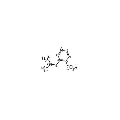 CN(C)Cc1cnccc1C(=O)O